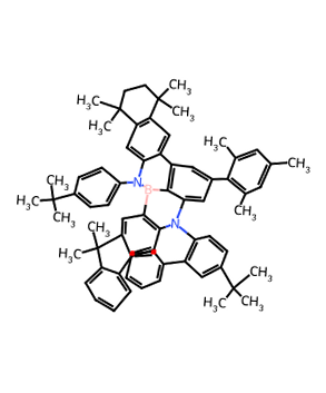 Cc1cc(C)c(-c2cc3c4c(c2)N(c2ccc(C(C)(C)C)cc2-c2ccccc2)c2cc5c(cc2B4N(c2ccc(C(C)(C)C)cc2)c2cc4c(cc2-3)C(C)(C)CCC4(C)C)C(C)(C)c2ccccc2-5)c(C)c1